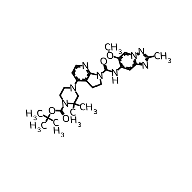 COc1cn2nc(C)nc2cc1NC(=O)N1CCc2c(N3CCN(C(=O)OC(C)(C)C)C(C)(C)C3)ccnc21